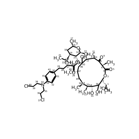 CC[C@H]1OC(=O)[C@H](C)C(=O)[C@H](C)[C@@H](O[C@@H]2O[C@H](C)C[C@H](N(C)C)[C@H]2OC(=O)CCCc2ccc(N(CCCl)CCCl)cc2)[C@](C)(O)C[C@@H](C)CN(C)[C@H](C)[C@@H](O)[C@]1(C)O